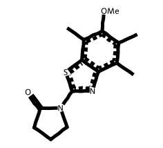 COc1c(C)c(C)c2nc(N3CCCC3=O)sc2c1C